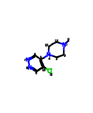 CN1CCN(c2cnncc2Cl)CC1